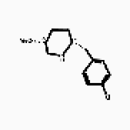 CO[C@@H]1CC[C@H](Cc2ccc(Cl)cc2)NC1